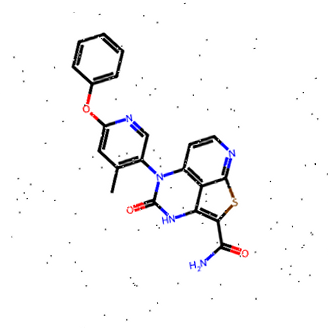 Cc1cc(Oc2ccccc2)ncc1N1C(=O)Nc2c(C(N)=O)sc3nccc1c23